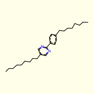 CCCCCCCCCc1cnc(-c2ccc(CCCCCCCC)cc2)nc1